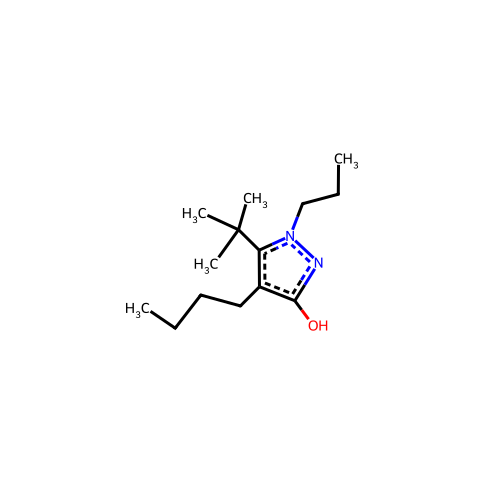 CCCCc1c(O)nn(CCC)c1C(C)(C)C